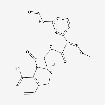 C=CC1=C(C(=O)O)N2C(=O)C(NC(=O)/C(=N\OC)c3cccc(NC=O)n3)[C@H]2SC1